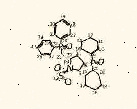 CS(=O)(=O)N1C[C@@H](P(=O)(C2CCCCC2)C2CCCCC2)C[C@H]1CP(=O)(c1ccccc1)c1ccccc1